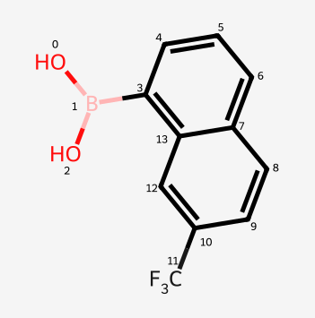 OB(O)c1cccc2ccc(C(F)(F)F)cc12